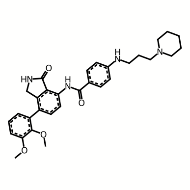 COc1cccc(-c2ccc(NC(=O)c3ccc(NCCCN4CCCCC4)cc3)c3c2CNC3=O)c1OC